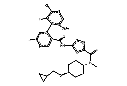 COc1cnc(Cl)c(F)c1-c1cc(C)ncc1C(=O)Nc1nnc(C(=O)N(C)[C@H]2CC[C@H](OCC3CC3)CC2)s1